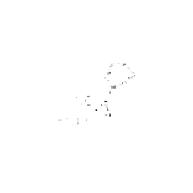 CCOC(=O)C1(C#N)C=C1c1ccccc1